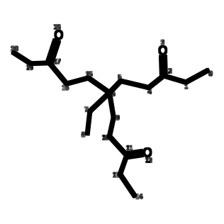 CCC(=O)CCC(CC)(CCC(=O)CC)CCC(=O)CC